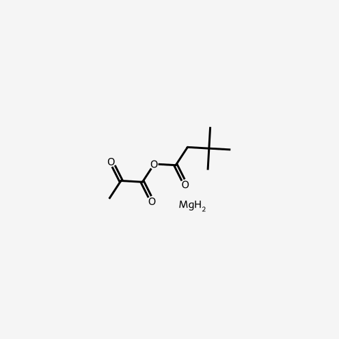 CC(=O)C(=O)OC(=O)CC(C)(C)C.[MgH2]